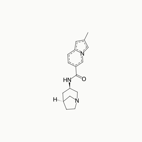 Cc1cc2ccc(C(=O)N[C@@H]3C[C@@H]4CCN(C4)C3)cn2c1